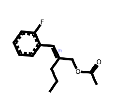 CCC/C(=C\c1ccccc1F)COC(C)=O